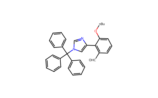 CCCCOc1cccc(C=O)c1-c1cn(C(c2ccccc2)(c2ccccc2)c2ccccc2)cn1